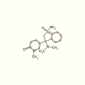 CN(C)C(CS(N)(=O)=O)(c1ccccc1)c1ccc(=O)n(C)c1